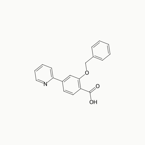 O=C(O)c1ccc(-c2ccccn2)cc1OCc1ccccc1